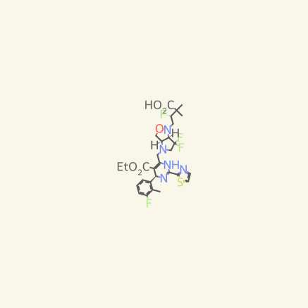 CCOC(=O)C1=C(CN2CC(F)(F)[C@H]3[C@@H]2CON3C[C@H](F)C(C)(C)C(=O)O)NC(c2nccs2)=N[C@H]1c1cccc(F)c1C